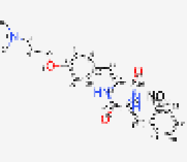 CN(C)CCCOc1ccc(C=c2[nH]c(=O)c(=Cc3ccccc3[N+](=O)[O-])[nH]c2=O)cc1